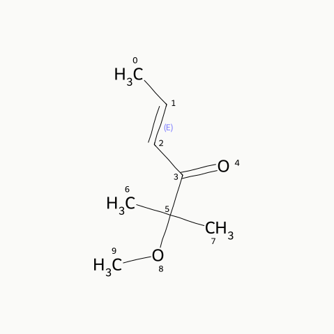 C/C=C/C(=O)C(C)(C)OC